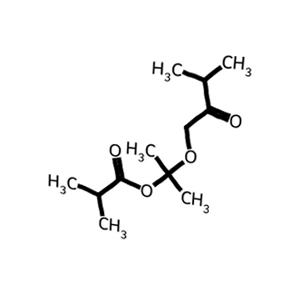 CC(C)C(=O)COC(C)(C)OC(=O)C(C)C